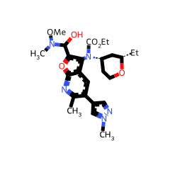 CCOC(=O)N(c1c(C(O)N(C)OC)oc2nc(C)c(-c3cnn(C)c3)cc12)[C@H]1CCO[C@@H](CC)C1